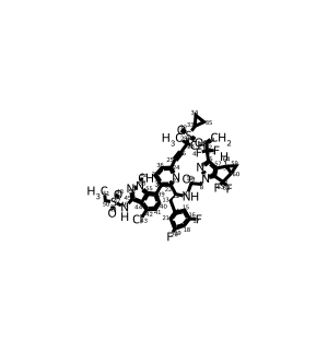 C=CC(F)(F)c1nn(CC(=O)N[C@@H](Cc2cc(F)cc(F)c2)c2nc(C#CC(C)(C)S(=O)(=O)C3CC3)ccc2-c2ccc(Cl)c3c(NS(=O)(=O)CC)nn(C)c23)c2c1[C@H]1CC1C2(F)F